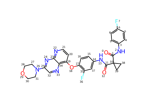 O=C(Nc1ccc(F)cc1)C1(C(=O)Nc2ccc(Oc3ccnc4nc(N5CCOCC5)cnc34)c(F)c2)CC1